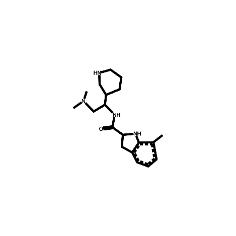 Cc1cccc2c1NC(C(=O)NC(CN(C)C)C1CCCNC1)C2